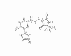 CC1(C)NC(=O)N(CCNc2ncc(Br)c(-c3cc(I)cs3)n2)C1=O